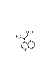 CN(CC=O)c1ccnc2ccccc12